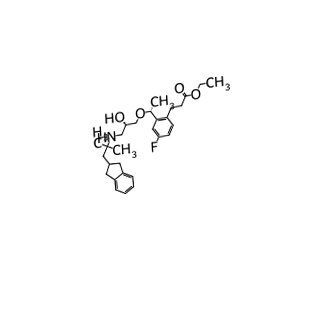 CCOC(=O)CCc1ccc(F)cc1[C@@H](C)OC[C@H](O)CNC(C)(C)CC1Cc2ccccc2C1